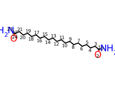 NC(=O)CCCCCCCCCCCCCCCCCCCC(N)=O